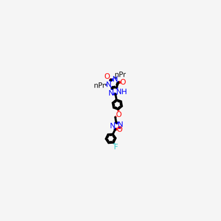 CCCn1c(=O)c2[nH]c(-c3ccc(OCc4noc(-c5cccc(F)c5)n4)cc3)nc2n(CCC)c1=O